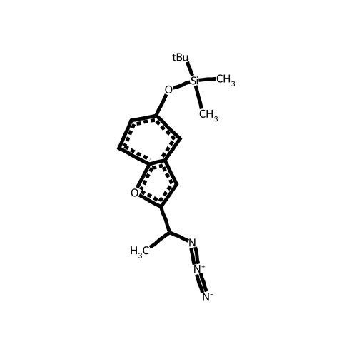 CC(N=[N+]=[N-])c1cc2cc(O[Si](C)(C)C(C)(C)C)ccc2o1